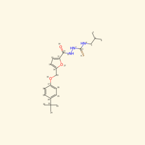 CC(C)CNC(=S)NNC(=O)c1ccc(COc2ccc(C(C)(C)C)cc2)o1